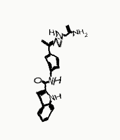 C=C(N)N/N=C(\C)c1ccc(NC(=O)c2cc3ccccc3[nH]2)cc1